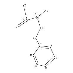 CC(=O)N(C)CCc1ccccc1